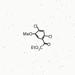 CCOC(=O)C(=O)c1cc(OC)c(Cl)cc1Cl